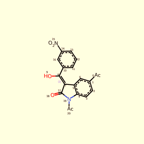 CC(=O)c1ccc2c(c1)/C(=C(/O)c1cccc([N+](=O)[O-])c1)C(=O)N2C(C)=O